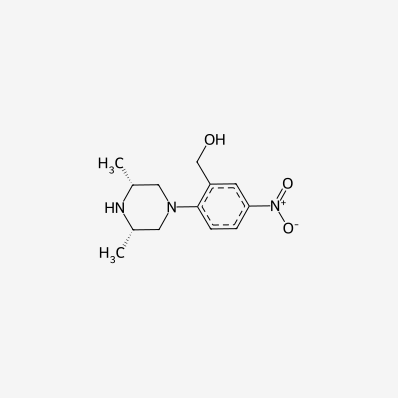 C[C@@H]1CN(c2ccc([N+](=O)[O-])cc2CO)C[C@H](C)N1